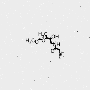 [C-]#[N+]CC(=O)NCC(O)C(C)OCOC